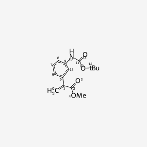 C=C(C(=O)OC)c1cccc(NC(=O)OC(C)(C)C)c1